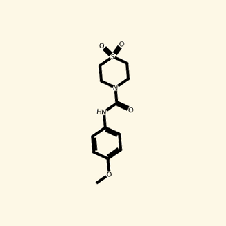 COc1ccc(NC(=O)N2CCS(=O)(=O)CC2)cc1